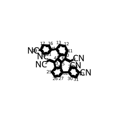 N#CC(C#N)=C1C2=C(C(=C(C#N)C#N)c3cccc(-c4ccc(C#N)cc4)c32)c2c1cccc2-c1ccc(C#N)cc1